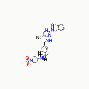 CS(=O)(=O)N1CCC(N[C@@H]2[C@@H]3CC4C[C@H]2C[C@@](CNc2nc(NCc5ccccc5Cl)ncc2C#N)(C4)C3)CC1